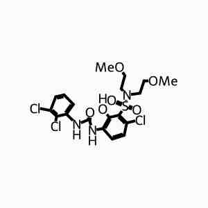 COCCN(CCOC)S(=O)(=O)c1c(Cl)ccc(NC(=O)Nc2cccc(Cl)c2Cl)c1O